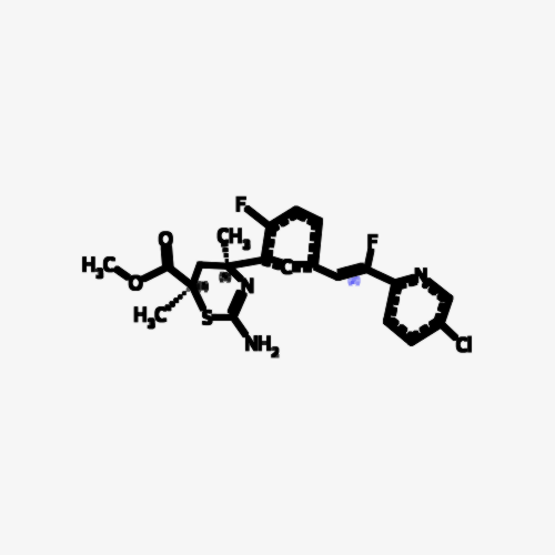 COC(=O)[C@@]1(C)C[C@@](C)(c2cc(/C=C(\F)c3ccc(Cl)cn3)ccc2F)N=C(N)S1